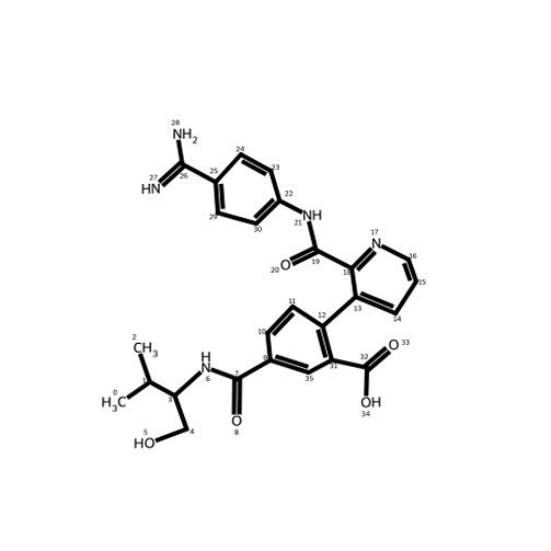 CC(C)C(CO)NC(=O)c1ccc(-c2cccnc2C(=O)Nc2ccc(C(=N)N)cc2)c(C(=O)O)c1